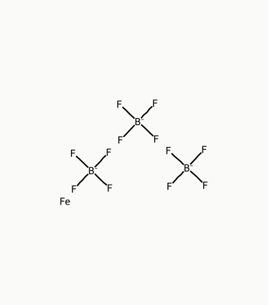 F[B-](F)(F)F.F[B-](F)(F)F.F[B-](F)(F)F.[Fe]